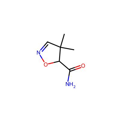 CC1(C)C=NOC1C(N)=O